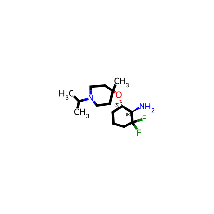 CC(C)N1CCC(C)(O[C@H]2CCCC(F)(F)[C@@H]2N)CC1